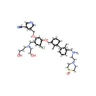 Cc1c(COc2cc(OCc3cncc(C#N)c3)c(CN(CCO)CCCO)cc2Cl)cccc1-c1cccc(CN(C)CCN2CC[S+]([O-])CC2)c1C